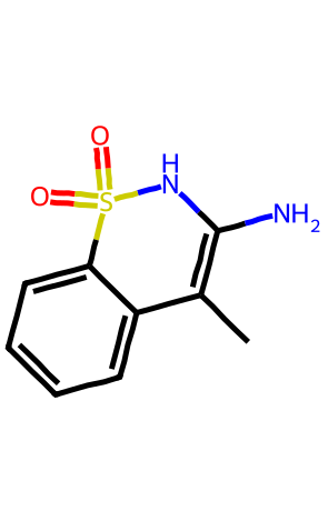 CC1=C(N)NS(=O)(=O)c2ccccc21